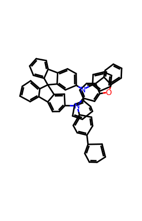 c1ccc(-c2ccc(N(c3ccc4c(c3)C3(c5ccccc5-c5ccc(N(c6ccccc6)c6ccccc6)cc53)c3ccccc3-4)c3ccc4c(c3)oc3ccccc34)cc2)cc1